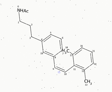 CC(=O)NCCCc1cccc(/C=C\c2c(C)cccc2C)c1